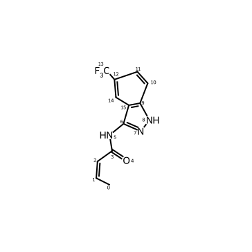 C/C=C\C(=O)Nc1n[nH]c2ccc(C(F)(F)F)cc12